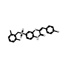 Cc1cccc(C)c1CS(=O)(=O)c1ccc2c(c1)S/C(=C/c1ccc(Br)cc1)C(=O)N2